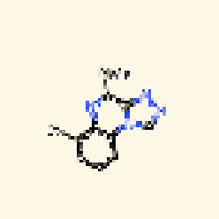 CCc1cccc2c1nc(NC)c1nncn12